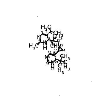 CC1=NC=C(C(C)C)C(C(C)(C)CC2CC2C2=CN=CNC2C(C)(C)C)N1